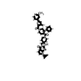 Cc1cc(-c2cc(F)c(C(=O)N3CC[C@@H](C(=O)N4CCC(O)(Cn5cnc6c(ccn6C6CC6)c5=O)CC4)[C@H](c4ccccc4)C3)s2)ccn1